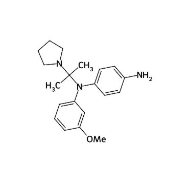 COc1cccc(N(c2ccc(N)cc2)C(C)(C)N2CCCC2)c1